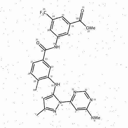 CNc1cc(-n2nc(C)cc2Nc2cc(C(=O)Nc3cc(C(=O)OC)cc(C(F)(F)F)c3)ccc2C)ncn1